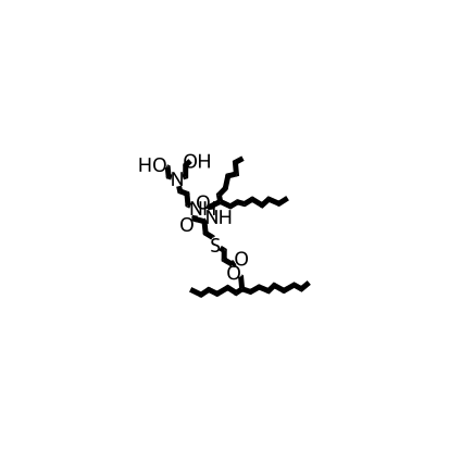 CCCCCCCCC(CCCCCC)COC(=O)CCSCCC(NC(=O)C(CCCCCC)CCCCCCCC)C(=O)NCCCN(CCO)CCO